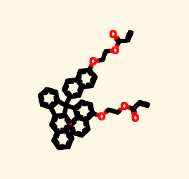 C=CC(=O)OCCOc1ccc2cc(C3(c4ccc(OCCOC(=O)C=C)c5ccccc45)c4ccccc4-c4cc5ccccc5cc43)ccc2c1